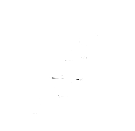 OC1(Cc2ccccc2)CC[C@H]2CN(Cc3ccccc3)CC[C@H]2C1